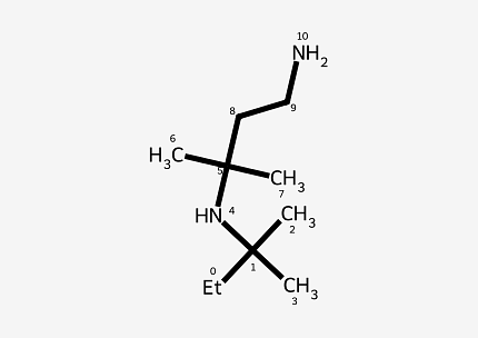 CCC(C)(C)NC(C)(C)CCN